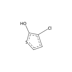 Oc1sccc1Cl